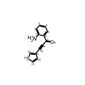 Nc1ccccc1C(=O)C#Cc1ccsc1